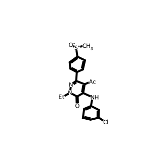 CCn1nc(-c2ccc([S+](C)[O-])cc2)c(C(C)=O)c(Nc2cccc(Cl)c2)c1=O